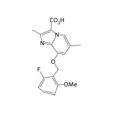 COc1cccc(F)c1COc1cc(C)cn2c(C(=O)O)c(C)nc12